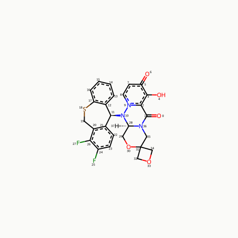 O=C1c2c(O)c(=O)ccn2N([C@@H]2c3ccccc3SCc3c2ccc(F)c3F)[C@@H]2COC3(COC3)CN12